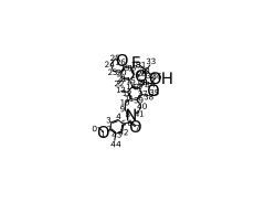 COc1ccc(C(=O)N2CCc3c(C)c(-c4cc(F)c5c(c4C)CCCO5)c([C@H](OC(C)(C)C)C(=O)O)c(C)c3CC2)cc1C